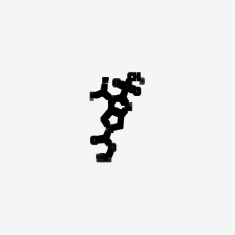 CC(C)(C)OC(=O)N1Cc2nc(S(C)(=O)=O)n(C(F)F)c2C1